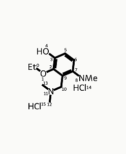 CCOc1c(O)ccc(NC)c1CN(C)C.Cl.Cl